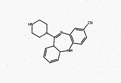 N#Cc1ccc2c(c1)N=C(N1CCNCC1)C1C=CC=CC1N2